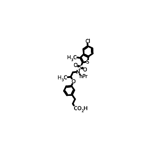 CCCN(CC(C)Oc1cccc(CCC(=O)O)c1)S(=O)(=O)c1sc2ccc(Cl)cc2c1C